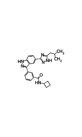 CC(C)Cc1nc(-c2ccc3[nH]nc(-c4cccc(C(=O)NC5CCC5)c4)c3c2)n[nH]1